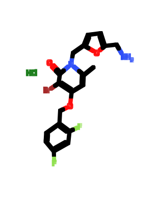 Cc1cc(OCc2ccc(F)cc2F)c(Br)c(=O)n1Cc1ccc(CN)o1.Cl